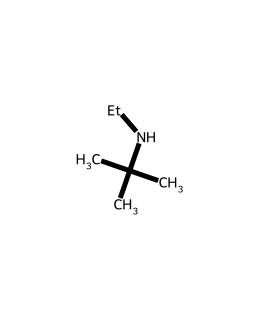 [CH2]CNC(C)(C)C